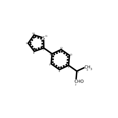 CC(C=O)c1ccc(-c2cccs2)cc1